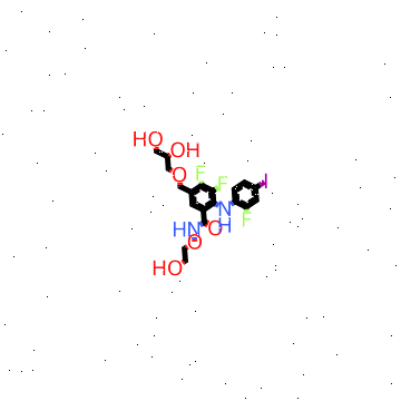 O=C(NOCCO)c1cc(COCC(O)CO)c(F)c(F)c1Nc1ccc(I)cc1F